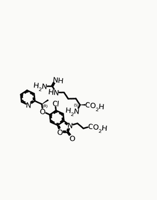 C[C@@H](Oc1cc2oc(=O)n(CCC(=O)O)c2cc1Cl)c1ccccn1.N=C(N)NCCC[C@H](N)C(=O)O